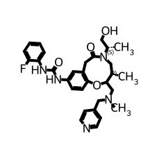 C[C@@H]1CN([C@@H](C)CO)C(=O)Cc2cc(NC(=O)Nc3ccccc3F)ccc2OC1CN(C)Cc1ccncc1